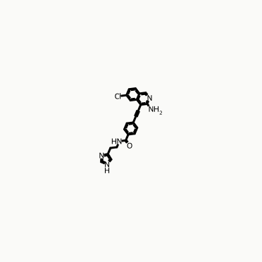 Nc1ncc2ccc(Cl)cc2c1C#Cc1ccc(C(=O)NCCc2c[nH]cn2)cc1